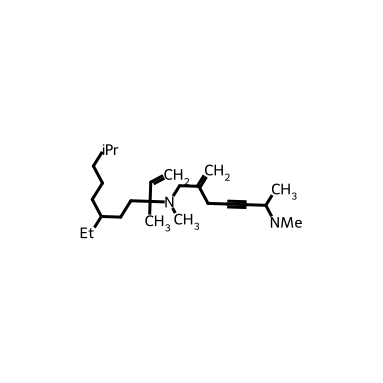 C=CC(C)(CCC(CC)CCCC(C)C)N(C)CC(=C)CC#CC(C)NC